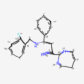 N=C(/C=C(\NCC1=CCC=CC=C1F)c1ccccc1)C1=NC=CCC=N1